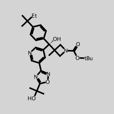 CCC(C)(C)c1ccc([C@](O)(c2cncc(-c3noc(C(C)(C)O)n3)c2)C2(C)CN(C(=O)OC(C)(C)C)C2)cc1